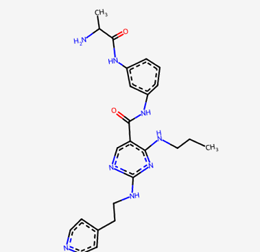 CCCNc1nc(NCCc2ccncc2)ncc1C(=O)Nc1cccc(NC(=O)C(C)N)c1